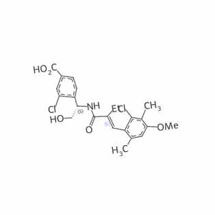 CC/C(=C\c1c(C)cc(OC)c(C)c1Cl)C(=O)N[C@H](CO)c1ccc(C(=O)O)cc1Cl